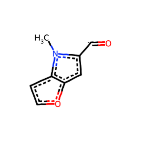 Cn1c([C]=O)cc2occc21